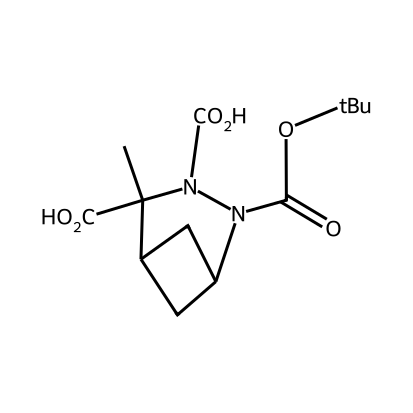 CC(C)(C)OC(=O)N1C2CC(C2)C(C)(C(=O)O)N1C(=O)O